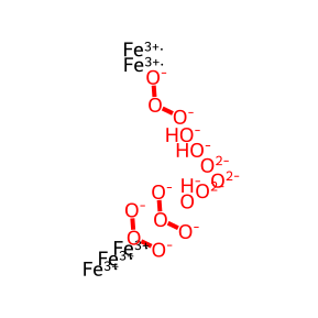 [Fe+3].[Fe+3].[Fe+3].[Fe+3].[Fe+3].[O-2].[O-2].[O-2].[O-]O[O-].[O-]O[O-].[O-]O[O-].[OH-].[OH-].[OH-]